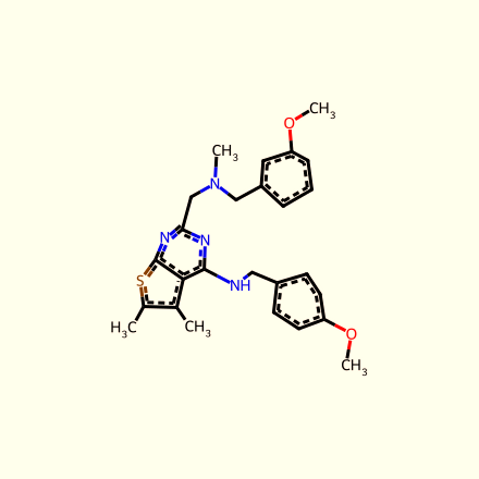 COc1ccc(CNc2nc(CN(C)Cc3cccc(OC)c3)nc3sc(C)c(C)c23)cc1